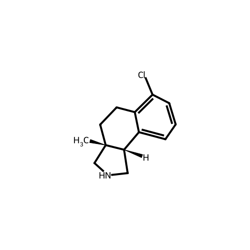 C[C@@]12CCc3c(Cl)cccc3[C@@H]1CNC2